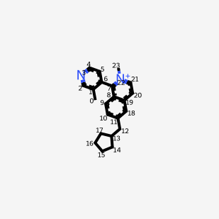 Cc1cnccc1-c1c2ccc(CC3CCCC3)cc2cc[n+]1C